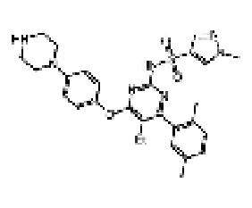 CCc1c(Oc2ccc(N3CCNCC3)cc2)nc(NS(=O)(=O)c2cnn(C)c2)nc1-c1cc(C)ccc1C